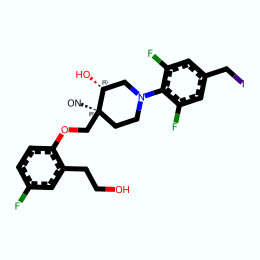 O=N[C@@]1(COc2ccc(F)cc2CCO)CCN(c2c(F)cc(CI)cc2F)C[C@H]1O